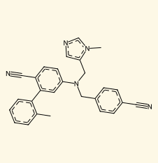 Cc1ccccc1-c1cc(N(Cc2ccc(C#N)cc2)Cc2cncn2C)ccc1C#N